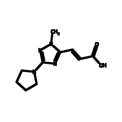 Cn1nc(N2CCCC2)nc1/C=C/C(=O)O